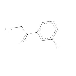 NCC(=O)c1cccc(Br)c1